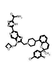 C[C@]1(c2ccc(Cl)cc2F)C=Cc2cccc(C3CCN(Cc4nc5cc(-c6nnc(C(N)=O)[nH]6)ncc5n4C[C@@H]4CCO4)CC3)c2O1